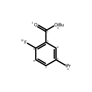 CC(C)COC(=O)c1cc(C(C)C)ccc1F